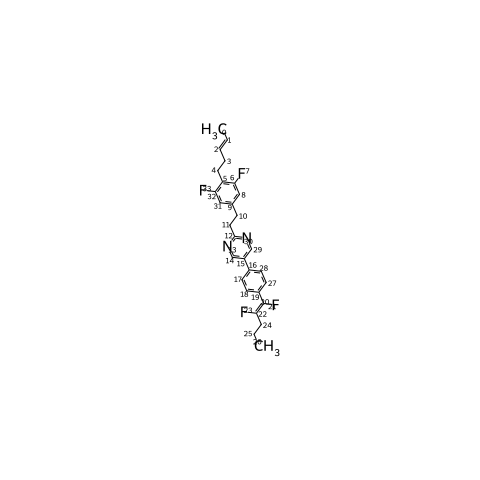 C/C=C/CCc1c(F)cc(CCc2ncc(-c3ccc(/C(F)=C(\F)CCC)cc3)cn2)cc1F